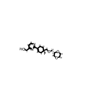 OCc1ccnc(C2=CC[C@](F)(COC[C@H]3COCCO3)CC2)n1